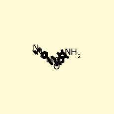 Cc1c(C)c2c(c(C)c1N)CC(C)(C(=O)N1CCN(c3ccc(-n4ccnc4)cc3)CC1)O2